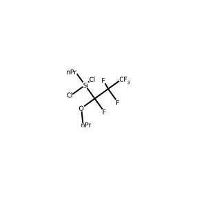 CCCOC(F)(C(F)(F)C(F)(F)F)[Si](Cl)(Cl)CCC